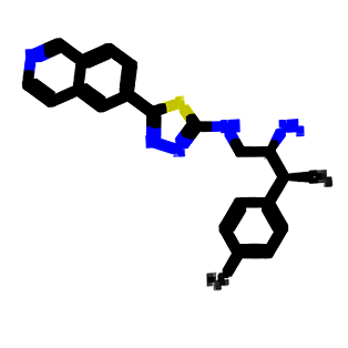 C[C@@H](c1ccc(C(F)(F)F)cc1)[C@H](N)CNc1nnc(-c2ccc3cnccc3c2)s1